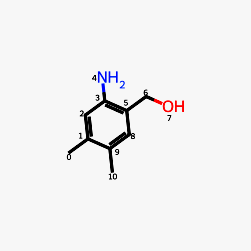 Cc1cc(N)c(CO)cc1C